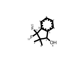 CC1(C)C(O)c2ccccc2C1(F)F